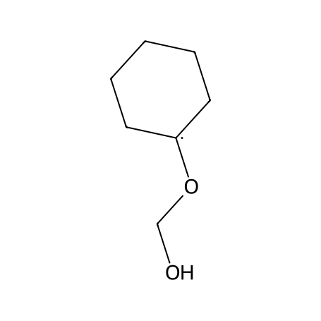 OCO[C]1CCCCC1